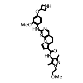 COCCn1nc(C)c(NC(=O)c2ccn3c2CCc2cnc(Nc4ccc(OC5CNC5)cc4OC)nc2-3)c1C